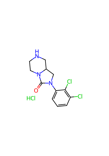 Cl.O=C1N(c2cccc(Cl)c2Cl)CC2CNCCN12